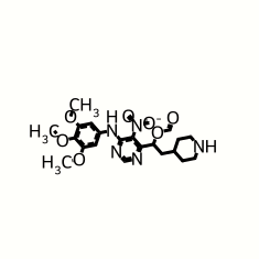 COc1cc(Nc2ncnc(C(CC3CCNCC3)OC=O)c2[N+](=O)[O-])cc(OC)c1OC